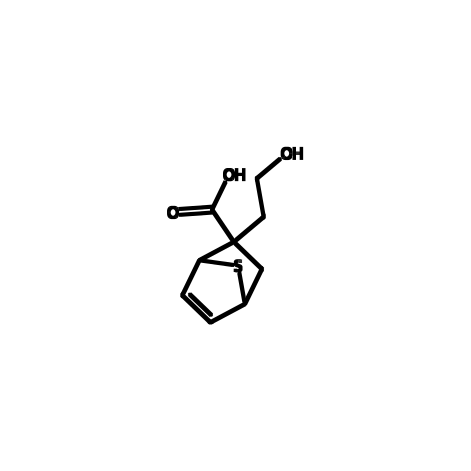 O=C(O)C1(CCO)CC2C=CC1S2